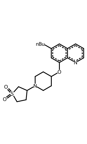 CCCCc1cc(OC2CCN(C3CCS(=O)(=O)C3)CC2)c2ncccc2c1